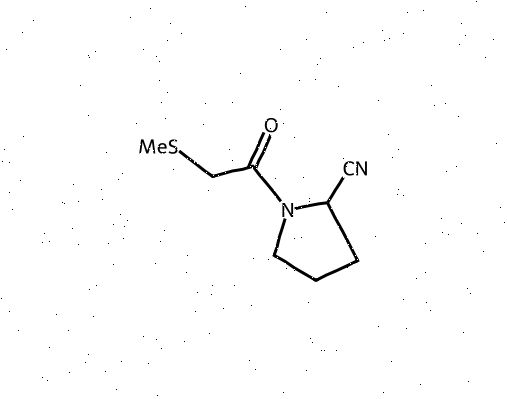 CSCC(=O)N1CCCC1C#N